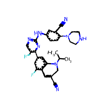 CC(C)N1CC(C#N)=Cc2c(F)cc(-c3nc(Nc4ccc(N5CCNCC5)c(C#N)c4)ncc3F)cc21